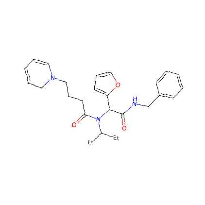 CCC(CC)N(C(=O)CCCN1C=CC=CC1)C(C(=O)NCc1ccccc1)c1ccco1